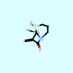 C=C1C(=O)N2CCC[S+]([O-])[C@@H]12